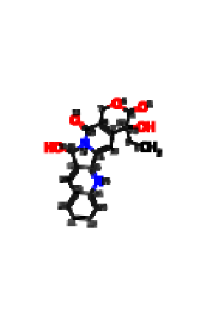 CC[C@@]1(O)C(=O)OCc2c1cc1n(c2=O)C(O)c2cc3ccccc3nc2-1